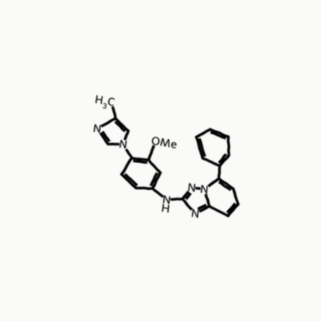 COc1cc(Nc2nc3cccc(-c4ccccc4)n3n2)ccc1-n1cnc(C)c1